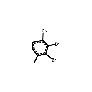 Cc1ccc(C#N)c(Br)c1Br